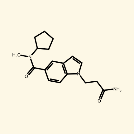 CN(C(=O)c1ccc2c(ccn2CCC(N)=O)c1)C1CCCC1